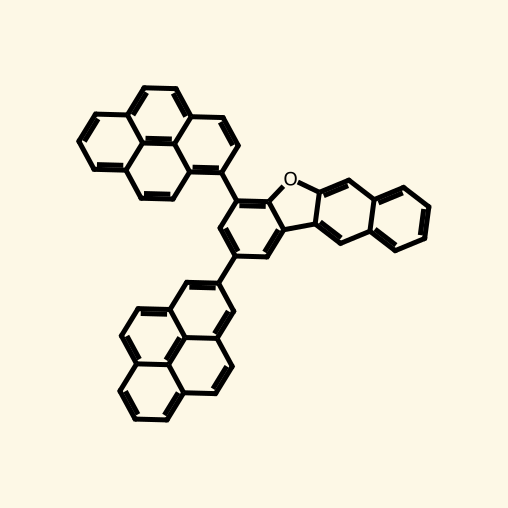 c1ccc2cc3c(cc2c1)oc1c(-c2ccc4ccc5cccc6ccc2c4c56)cc(-c2cc4ccc5cccc6ccc(c2)c4c56)cc13